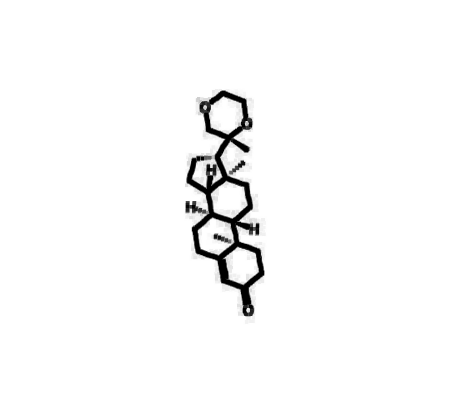 C[C@]12CC[C@H]3[C@@H](CCC4=CC(=O)CC[C@@]43C)[C@@H]1CC[C@@H]2[C@]1(C)COCCO1